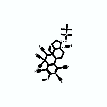 C=CC12C([CH]C[C@@]3(C#N)C1CC[C@@H]3O[Si](C)(C)C(C)(C)C)c1c(C#N)c(C#N)c(OC)c(C#N)c1C(C#N)(C#N)C2C#N